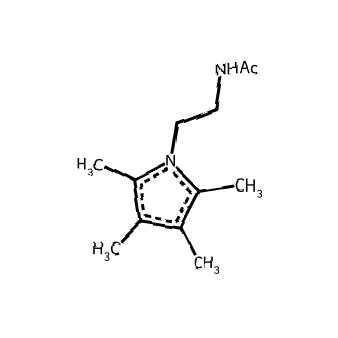 CC(=O)NCCn1c(C)c(C)c(C)c1C